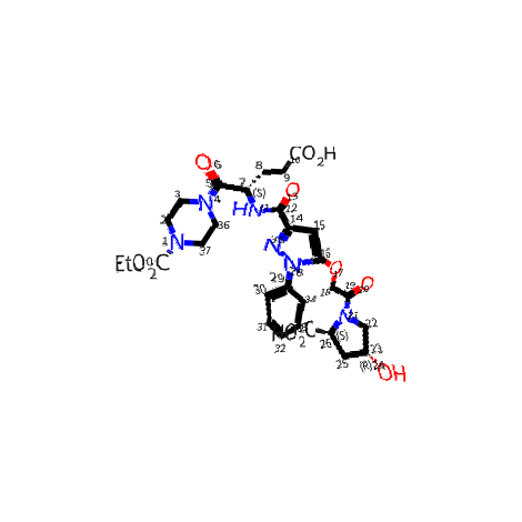 CCOC(=O)N1CCN(C(=O)[C@H](CCC(=O)O)NC(=O)c2cc(OCC(=O)N3C[C@H](O)C[C@H]3C(=O)O)n(-c3ccccc3)n2)CC1